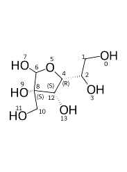 OCC(O)[C@H]1OC(O)[C@](O)(CO)[C@H]1O